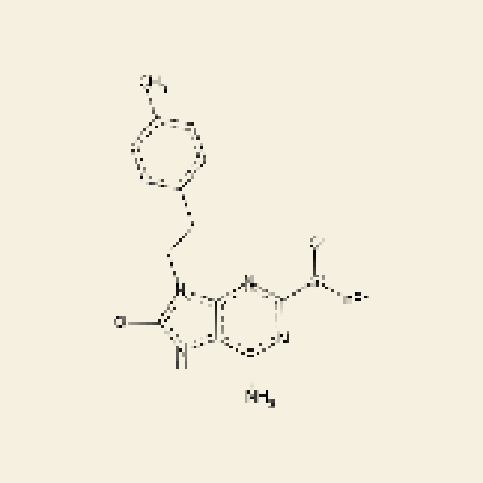 CCC[S+]([O-])c1nc(N)c2[nH]c(=O)n(CCc3ccc(C)cc3)c2n1